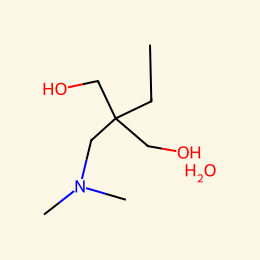 CCC(CO)(CO)CN(C)C.O